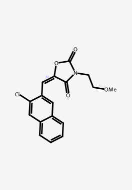 COCCN1C(=O)O/C(=C/c2cc3ccccc3cc2Cl)C1=O